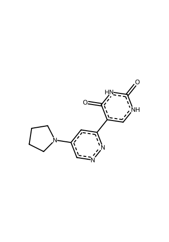 O=c1[nH]cc(-c2cc(N3CCCC3)cnn2)c(=O)[nH]1